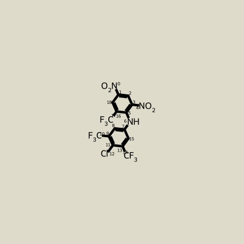 O=[N+]([O-])c1cc([N+](=O)[O-])c(Nc2cc(C(F)(F)F)c(Cl)c(C(F)(F)F)c2)c(C(F)(F)F)c1